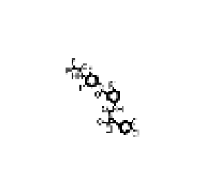 O=C(Nc1cc(F)c(NC(=O)C(F)F)c(F)c1)c1cc(NC(=O)C2C(c3ccc(Cl)c(Cl)c3)C2(Cl)Cl)ccc1Cl